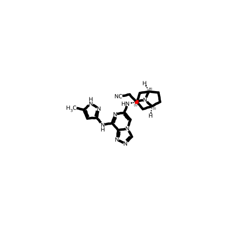 Cc1cc(Nc2nc(N[C@@H]3C[C@H]4CC[C@@H](C3)N4CCC#N)cn3cnnc23)n[nH]1